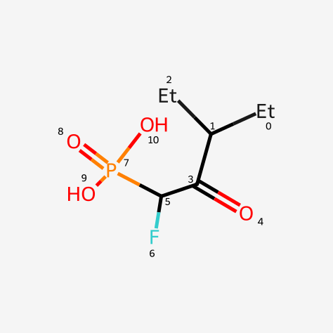 CCC(CC)C(=O)C(F)P(=O)(O)O